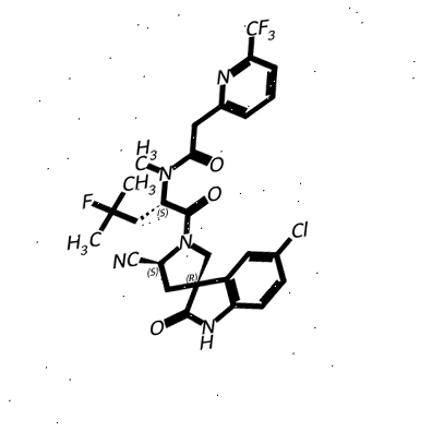 CN(C(=O)Cc1cccc(C(F)(F)F)n1)[C@@H](CC(C)(C)F)C(=O)N1C[C@]2(C[C@H]1C#N)C(=O)Nc1ccc(Cl)cc12